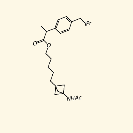 CC(=O)NC12CC(CCCCCOC(=O)C(C)c3ccc(CC(C)C)cc3)(C1)C2